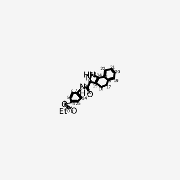 CCS(=O)(=O)c1ccc(NC(=O)c2n[nH]c3c2CCc2ccccc2-3)cc1